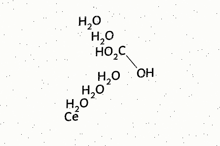 O.O.O.O.O.O=C(O)O.[Ce]